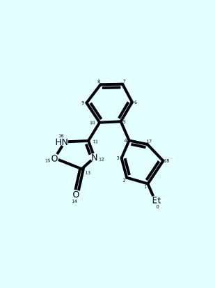 [CH2]Cc1ccc(-c2ccccc2-c2nc(=O)o[nH]2)cc1